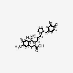 Cc1cc(CCC(=O)O)c([C@@H](C)OC[C@H](O)CN2CCC[C@H]2Cc2ccc(Cl)c(F)c2)cc1F